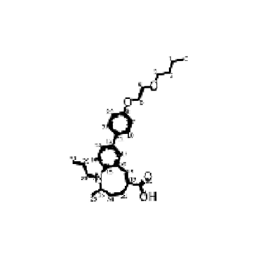 CCCCOCCOc1ccc(-c2ccc3c(c2)C=C(C(=O)O)CCC(C)N3CCC)cc1